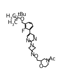 CC(=O)N1CCOC(CON=C2CN(c3ncc(-c4cccc(CO[Si](C)(C)C(C)(C)C)c4F)cn3)C2)C1